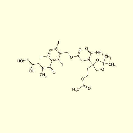 CC(=O)OCCC1(N(CC(=O)OCc2c(I)cc(I)c(C(=O)N(C)CC(O)CO)c2I)C(N)=O)COC(C)(C)O1